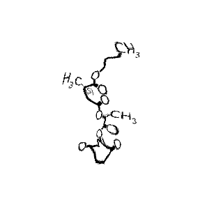 CCCCOC(=O)[C@@H](C)CC(=O)O[C@@H](C)C(=O)ON1C(=O)CCC1=O